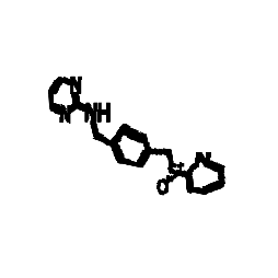 [O-][S+](Cc1ccc(CNc2ncccn2)cc1)c1ccccn1